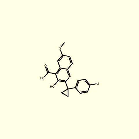 COc1ccc2nc(C3(c4ccc(Cl)cc4)CC3)c(O)c(C(=O)O)c2c1